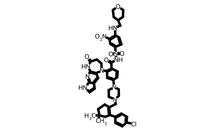 CC1(C)CCC(CN2CCN(c3ccc(C(=O)NS(=O)(=O)c4ccc(NCC5CCOCC5)c([N+](=O)[O-])c4)c(N4CCC(=O)Nc5nc6[nH]ccc6cc54)c3)CC2)=C(c2ccc(Cl)cc2)C1